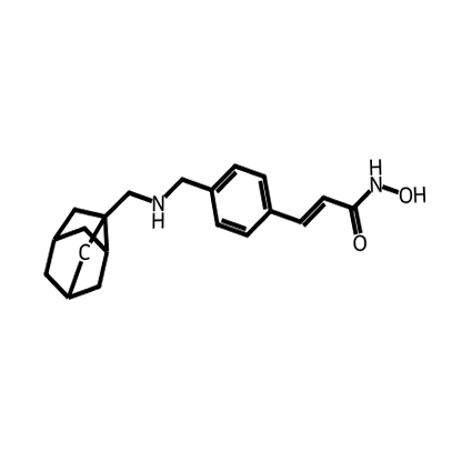 O=C(/C=C/c1ccc(CNCC23CC4CC(CC2C4)C3)cc1)NO